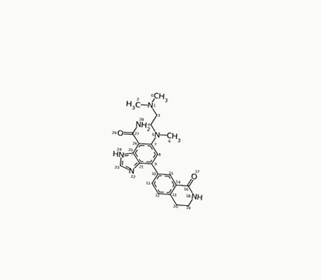 CN(C)CCN(C)c1cc(-c2ccc3c(c2)C(=O)NCC3)c2nc[nH]c2c1C(N)=O